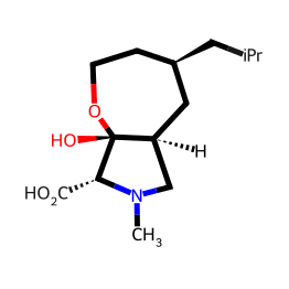 CC(C)C[C@@H]1CCO[C@]2(O)[C@@H](C1)CN(C)[C@@H]2C(=O)O